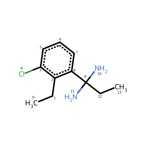 CCc1c(Cl)cccc1C(N)(N)CC